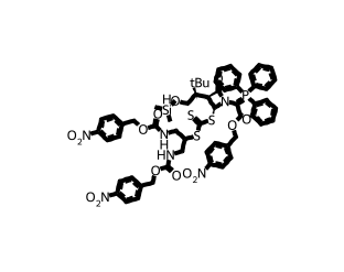 C[SiH](C)OC[C@H]([C@H]1C(=O)N(C(C(=O)OCc2ccc([N+](=O)[O-])cc2)=P(c2ccccc2)(c2ccccc2)c2ccccc2)[C@@H]1SC(=S)SC(CNC(=O)OCc1ccc([N+](=O)[O-])cc1)CNC(=O)OCc1ccc([N+](=O)[O-])cc1)C(C)(C)C